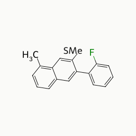 CSc1cc2c(C)cccc2cc1-c1ccccc1F